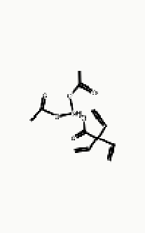 C=CC(C=C)(C=C)C(=O)O[SiH](OC(C)=O)OC(C)=O